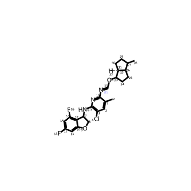 Cc1cc(Cl)c(NC2COc3cc(F)cc(F)c32)nc1/N=C/OC1CCC2C(C)CC[C@H]12